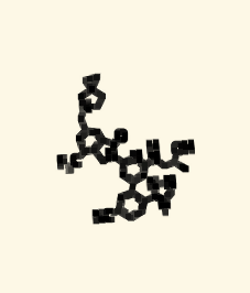 C[C@H](O)CNc1cc(-c2cc(C#N)ccc2-c2nncn2C)cc(N2Cc3c(cc(CN4CCC5(CC5)C4)cc3C(F)(F)F)C2=O)n1